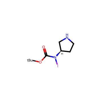 CC(C)(C)OC(=O)N(I)[C@@H]1CCNC1